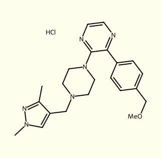 COCc1ccc(-c2nccnc2N2CCN(Cc3cn(C)nc3C)CC2)cc1.Cl